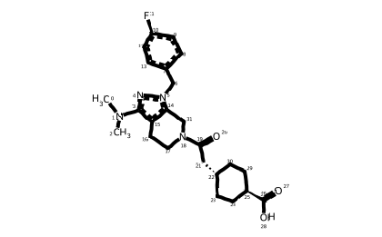 CN(C)c1nn(Cc2ccc(F)cc2)c2c1CCN(C(=O)C[C@H]1CC[C@H](C(=O)O)CC1)C2